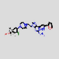 CC(C)(O)c1ccc(N2CCN(CCn3cnc4c3nc(N)n3nc(-c5ccco5)cc43)CC2)c(F)c1